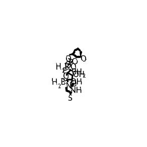 BC(B)(OP1(=O)OCc2cccc(OC)c2O1)[C@@]1(F)O[C@@](B)(n2ccc(=S)[nH]c2=O)[C@H](O)[C@@H]1O